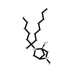 CCCCCCCC(C)(CCCCC)N1CC2C[C@H]1CN2C